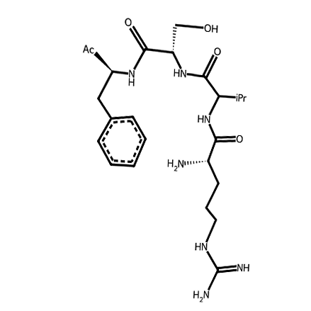 CC(=O)[C@H](Cc1ccccc1)NC(=O)[C@H](CO)NC(=O)C(NC(=O)[C@@H](N)CCCNC(=N)N)C(C)C